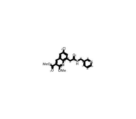 COC(=O)c1cc2cc(Cl)cc(CC(=O)NCc3cccnc3)c2nc1OC